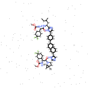 CCC(C)C[C@H](NC(=O)[C@@H](NC(=O)OC)C1CCC(F)(F)CC1)c1ncc(-c2ccc(-c3ccc4cc(-c5cnc([C@@H]6C[C@H]7C[C@H]7N6C(=O)[C@@H](NC(=O)OC)C6CCC(F)(F)CC6)[nH]5)ccc4c3)cc2)[nH]1